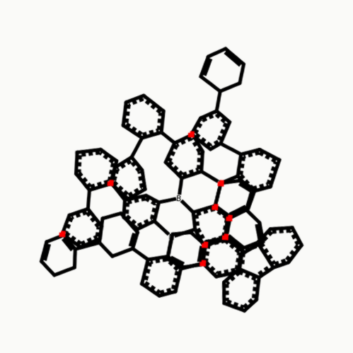 C1=CCCC(C2=CC=CC(c3cccc(-c4cccc(C5C=CC=CC5)c4)c3N3c4ccc(-c5ccccc5-c5ccccc5)cc4B4c5cc(-c6ccccc6-c6ccccc6)ccc5N(c5c(C6=CCCC(C7=CC=CCC7)C6)cccc5-c5cccc(C6=CC=CCC6)c5)c5cc(-n6c7ccccc7c7ccccc76)cc3c54)C2)=C1